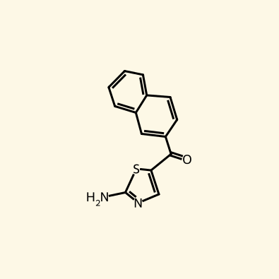 Nc1ncc(C(=O)c2ccc3ccccc3c2)s1